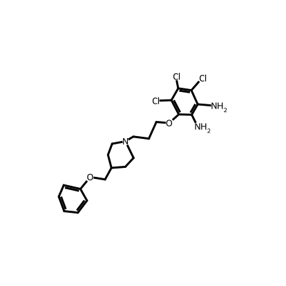 Nc1c(N)c(OCCCN2CCC(COc3ccccc3)CC2)c(Cl)c(Cl)c1Cl